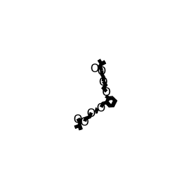 C=C(C)C(=O)OCCOCCOCc1ccccc1COCCOCCOC(=O)C(=C)C